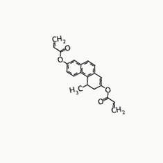 C=CC(=O)OC1=Cc2ccc3cc(OC(=O)C=C)ccc3c2C(C)C1